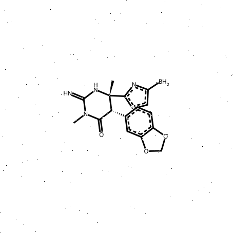 Bc1csc([C@@]2(C)NC(=N)N(C)C(=O)[C@H]2c2ccc3c(c2)OCO3)n1